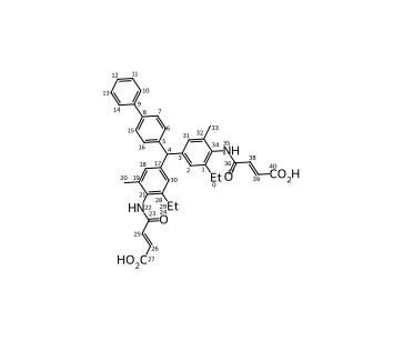 CCc1cc(C(c2ccc(-c3ccccc3)cc2)c2cc(C)c(NC(=O)/C=C/C(=O)O)c(CC)c2)cc(C)c1NC(=O)/C=C/C(=O)O